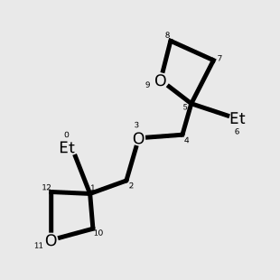 CCC1(COCC2(CC)CCO2)COC1